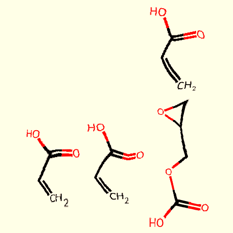 C=CC(=O)O.C=CC(=O)O.C=CC(=O)O.O=C(O)OCC1CO1